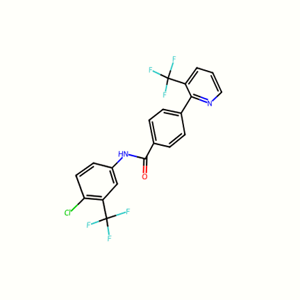 O=C(Nc1ccc(Cl)c(C(F)(F)F)c1)c1ccc(-c2ncccc2C(F)(F)F)cc1